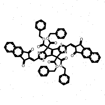 O=C1C(=Cc2nc3c(s2)C2=C(c4sc(C=C5C(=O)c6cc7ccccc7cc6C5=O)nc4C2(C(=O)OCc2ccccc2)C(=O)OCc2ccccc2)C3(C(=O)OCc2ccccc2)C(=O)OCc2ccccc2)C(=O)c2cc3ccccc3cc21